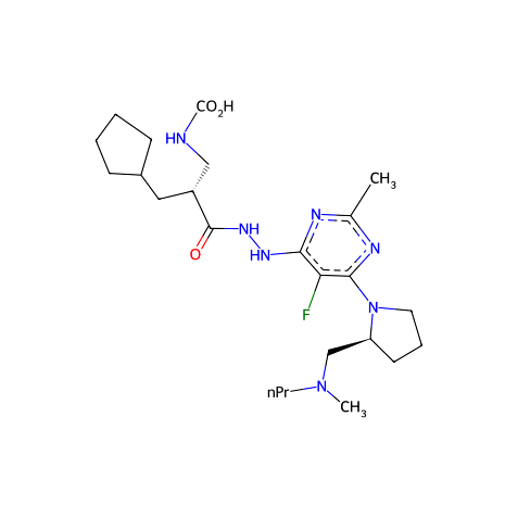 CCCN(C)C[C@@H]1CCCN1c1nc(C)nc(NNC(=O)[C@@H](CNC(=O)O)CC2CCCC2)c1F